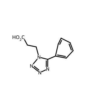 O=C(O)CCn1nnnc1-c1ccccc1